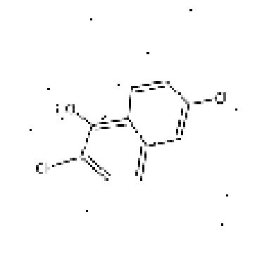 Oc1c(Cl)ccc2cc(Cl)ccc12